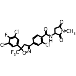 CN1C(=O)CC(NC(=O)c2ccc(C3=NOC(c4cc(Cl)c(F)c(Cl)c4)(C(F)(F)F)C3)cc2Cl)C1=O